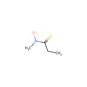 BN(C)C(=S)CC